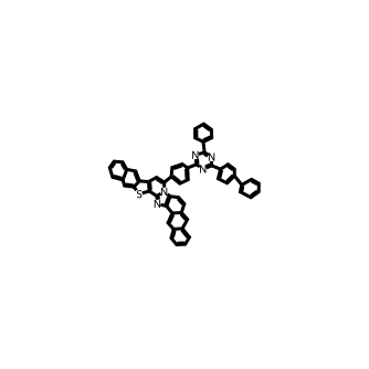 c1ccc(-c2ccc(-c3nc(-c4ccccc4)nc(-c4ccc(-c5cc6c7cc8ccccc8cc7sc6c6nc7c8cc9ccccc9cc8ccc7n56)cc4)n3)cc2)cc1